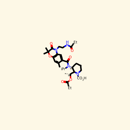 CCC(=O)NCCN1C(=O)C(C)(C)Oc2cc(C)c(C(=O)N(C(C)C)[C@@H]3CCCN(C(=O)O)C3[C@@H](C)OC(=O)CC)cc21